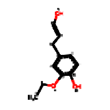 CCOc1cc(CC=CO)ccc1O